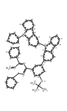 C=N/C(=N\C(=N/Cc1ccccc1)c1cc(OC(C)(C)C)cc(-c2ccc3c4ccccc4n(-c4ccc5c(c4)c4ccccc4n5-c4ccccc4)c3c2)c1)c1ccccc1